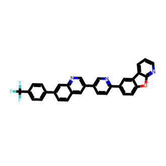 FC(F)(F)c1ccc(-c2ccc3cc(-c4ccc(-c5ccc6oc7ncccc7c6c5)nc4)cnc3c2)cc1